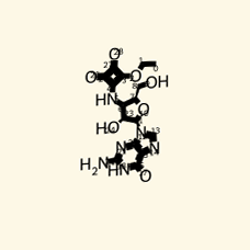 CCOc1c(NC2[C@@H](CO)O[C@@H](n3cnc4c(=O)[nH]c(N)nc43)[C@H]2O)c(=O)c1=O